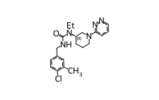 CCN(C(=O)NCc1ccc(Cl)c(C)c1)[C@@H]1CCCN(c2cccnn2)C1